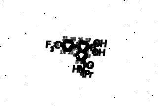 CC(C)NC(=O)c1ccc2c(-c3ccc(C(F)(F)F)cc3)ccc(B(O)O)c2c1